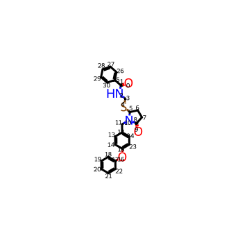 O=C(NCSC1CCC(=O)N1Cc1ccc(Oc2ccccc2)cc1)c1ccccc1